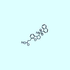 O=C(O)CCc1cccc2c1OC1CCC(NS(=O)(=O)c3cccc4ccccc34)C21